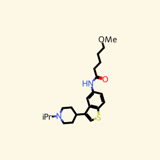 COCCCCC(=O)Nc1ccc2scc(C3CCN(C(C)C)CC3)c2c1